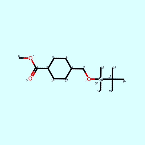 COC(=O)C1CCC(CO[Si](C)(C)C(C)(C)C)CC1